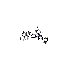 Nc1ccccc1NC(=O)c1ccc(/C=C(/C(=O)Nc2ccccc2)c2ccc(F)cc2)cc1